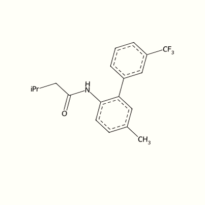 Cc1ccc(NC(=O)CC(C)C)c(-c2cccc(C(F)(F)F)c2)c1